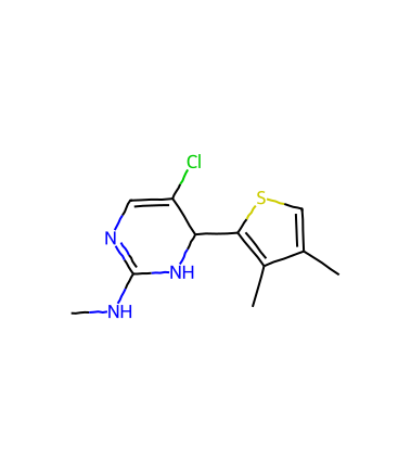 CNC1=NC=C(Cl)C(c2scc(C)c2C)N1